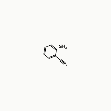 N#Cc1ccccc1.[SiH4]